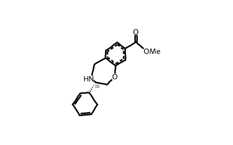 COC(=O)c1ccc2c(c1)OC[C@H](C1C=CC=CC1)NC2